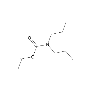 C[CH]OC(=O)N(CCC)CCC